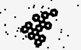 c1ccc(-c2cccc(-c3c(-c4ccccc4)c4cc5c(-c6cccc7cnccc67)c6ccccc6c(-c6cccc7cnccc67)c5cc4c4ccccc34)c2)cc1